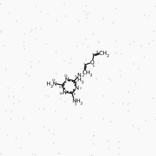 C=COC=C.Nc1nc(N)nc(N)n1